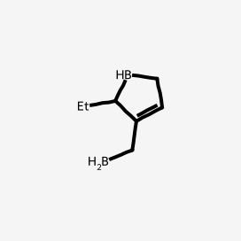 BCC1=CCBC1CC